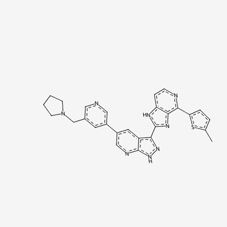 Cc1ccc(-c2nccc3[nH]c(-c4n[nH]c5ncc(-c6cncc(CN7CCCC7)c6)cc45)nc23)s1